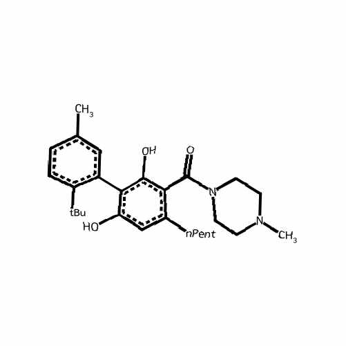 CCCCCc1cc(O)c(-c2cc(C)ccc2C(C)(C)C)c(O)c1C(=O)N1CCN(C)CC1